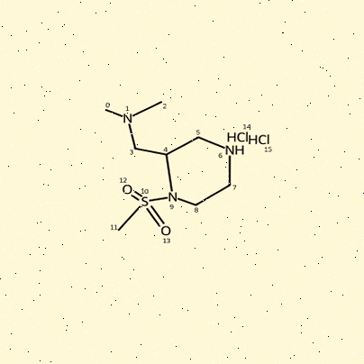 CN(C)CC1CNCCN1S(C)(=O)=O.Cl.Cl